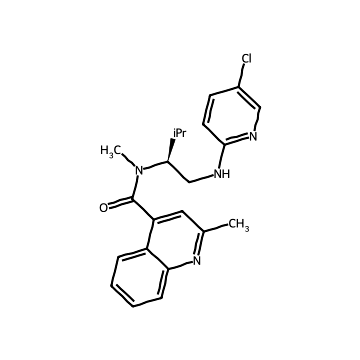 Cc1cc(C(=O)N(C)[C@H](CNc2ccc(Cl)cn2)C(C)C)c2ccccc2n1